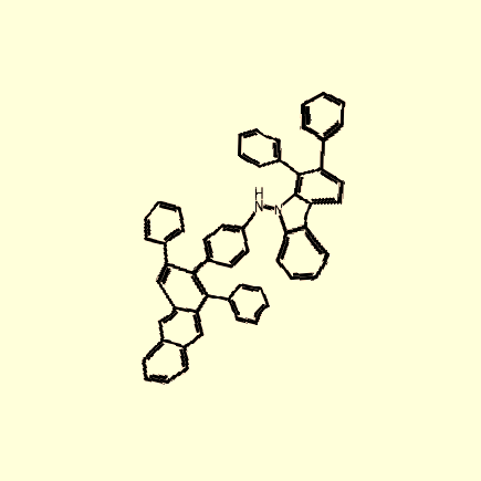 c1ccc(-c2cc3cc4ccccc4cc3c(-c3ccccc3)c2-c2ccc(Nn3c4ccccc4c4ccc(-c5ccccc5)c(-c5ccccc5)c43)cc2)cc1